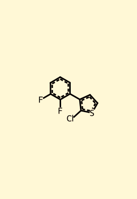 Fc1cccc(-c2ccsc2Cl)c1F